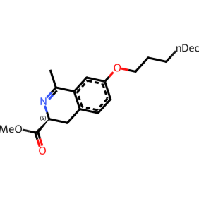 CCCCCCCCCCCCCOc1ccc2c(c1)C(C)=N[C@H](C(=O)OC)C2